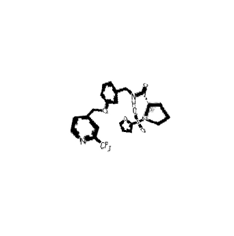 O=C(NCc1cccc(OCc2ccnc(C(F)(F)F)c2)c1)[C@@H]1CCCN1S(=O)(=O)c1ccco1